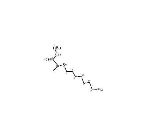 CCCCOC(=O)C(C)SCCCCCCCF